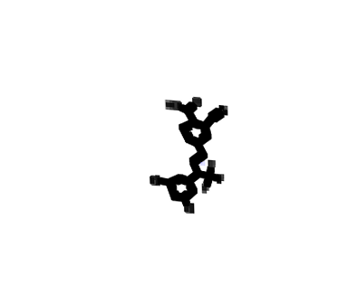 N#Cc1cc(/C=C/C(c2cc(Cl)cc(Cl)c2)C(F)(F)F)ccc1C(=O)O